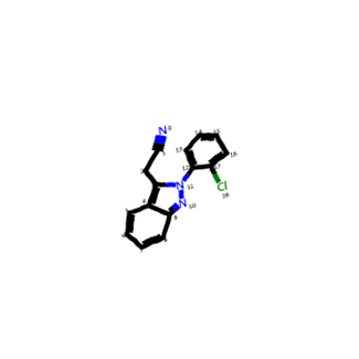 N#CCc1c2ccccc2nn1-c1ccccc1Cl